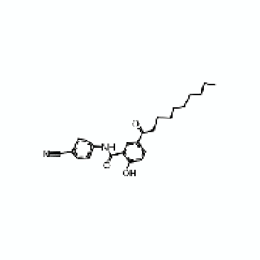 CCCCCCCCCC(=O)c1ccc(O)c(C(=O)Nc2ccc(C#N)cc2)c1